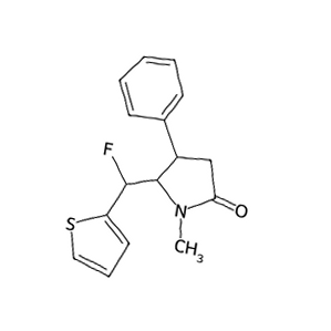 CN1C(=O)CC(c2ccccc2)C1C(F)c1cccs1